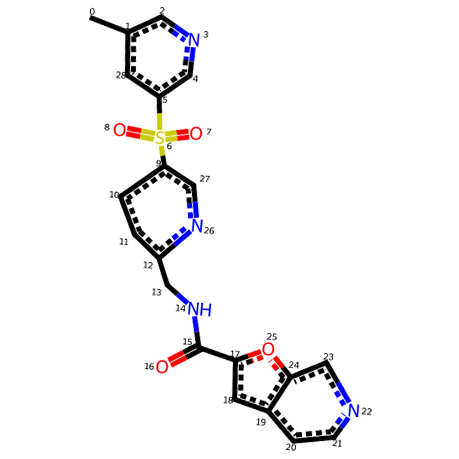 Cc1cncc(S(=O)(=O)c2ccc(CNC(=O)c3cc4ccncc4o3)nc2)c1